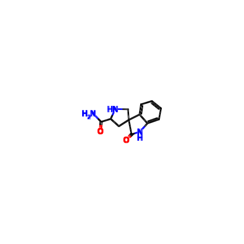 NC(=O)C1CC2(CN1)C(=O)Nc1ccccc12